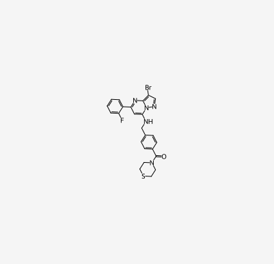 O=C(c1ccc(CNc2cc(-c3ccccc3F)nc3c(Br)cnn23)cc1)N1CCSCC1